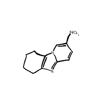 O=[N+]([O-])c1ccc2nc3c(n2c1)CCCC3